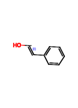 O/[C]=C/c1ccccc1